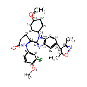 COc1ccc(N2C(=O)CCC2c2nc3cc(-c4c(C)noc4C)ccc3n2C2CCC(OC)CC2)cc1F